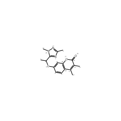 Cc1nc(C(C)Oc2ccc3c(C)c(C)c(=O)oc3c2)n(C)n1